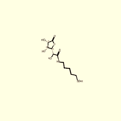 CCCCCCCCCCCCCCCNC(=O)C(O)[C@H]1OC(=O)[C@@H](O)[C@H]1O